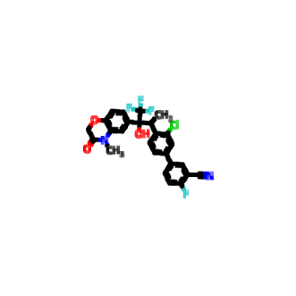 CC(c1ccc(-c2ccc(F)c(C#N)c2)cc1Cl)C(O)(c1ccc2c(c1)N(C)C(=O)CO2)C(F)(F)F